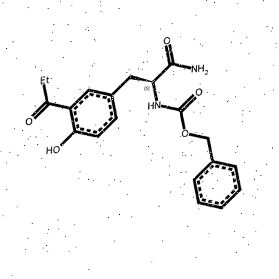 CCC(=O)c1cc(C[C@H](NC(=O)OCc2ccccc2)C(N)=O)ccc1O